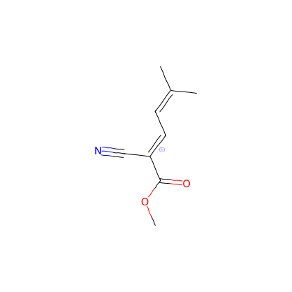 COC(=O)/C(C#N)=C/C=C(C)C